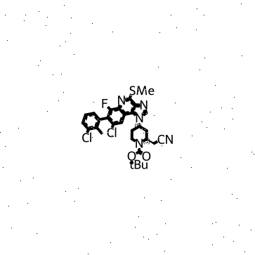 CSc1nc2c(F)c(-c3cccc(Cl)c3C)c(Cl)cc2c2c1ncn2[C@H]1CCN(C(=O)OC(C)(C)C)[C@H](CC#N)C1